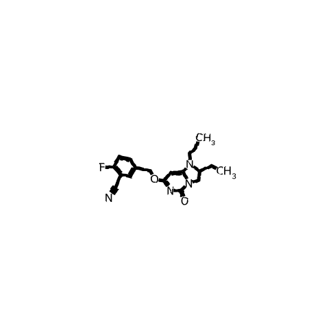 CCCN1c2cc(OCc3ccc(F)c(C#N)c3)nc(=O)n2CC1CC